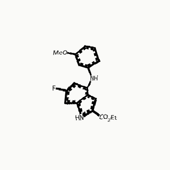 CCOC(=O)c1cc2c(Nc3cccc(OC)c3)cc(F)cc2[nH]1